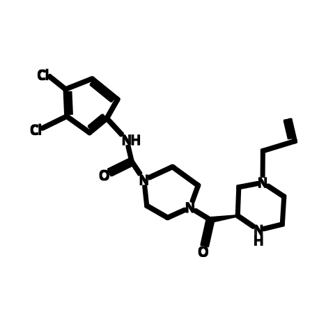 C=CCN1CCN[C@@H](C(=O)N2CCN(C(=O)Nc3ccc(Cl)c(Cl)c3)CC2)C1